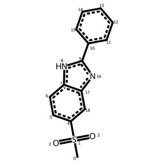 CS(=O)(=O)c1ccc2[nH]c(-c3ccccc3)nc2c1